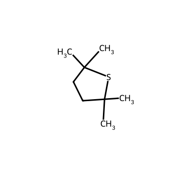 CC1(C)CCC(C)(C)S1